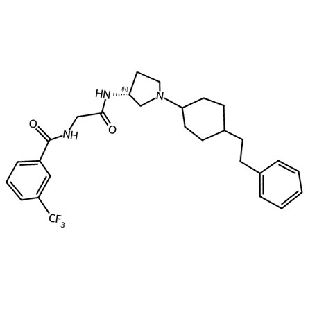 O=C(CNC(=O)c1cccc(C(F)(F)F)c1)N[C@@H]1CCN(C2CCC(CCc3ccccc3)CC2)C1